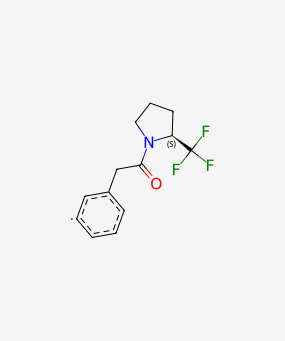 O=C(Cc1c[c]ccc1)N1CCC[C@H]1C(F)(F)F